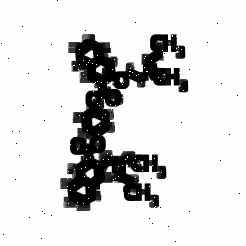 CCCN(C)CCOc1cc2ccccc2cc1C(=O)Oc1ccc(OC(=O)c2cc3ccccc3cc2CN(CC)CCC)cc1